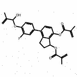 C=C(C)C(=O)Oc1ccc(-c2ccc(OC(O)C(=C)C)c(F)c2)c2c1C(OC(=O)C(=C)C)CC2